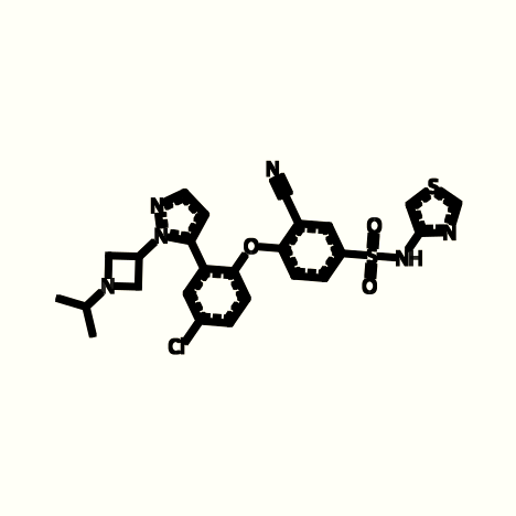 CC(C)N1CC(n2nccc2-c2cc(Cl)ccc2Oc2ccc(S(=O)(=O)Nc3cscn3)cc2C#N)C1